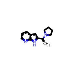 C=C(c1cc2cccnc2[nH]1)N1CCCC1